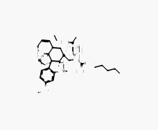 CCCCCOC(=O)NCC1(O)[C@H](OC(C)=O)[C@]2(CC)C=CCN3CC[C@@]4(c5ccc(OC)cc5N(C)[C@@H]14)[C@@H]32